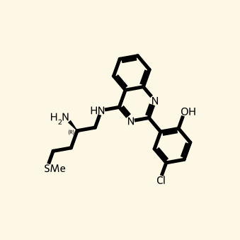 CSCC[C@@H](N)CNc1nc(-c2cc(Cl)ccc2O)nc2ccccc12